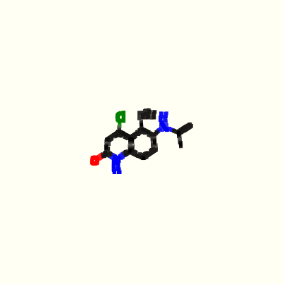 C=C(C)Nc1ccc2[nH]c(=O)cc(Cl)c2c1CCCC